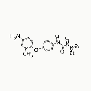 CCN(CC)NC(=O)Nc1ccc(Oc2ccc(N)cc2C)cc1